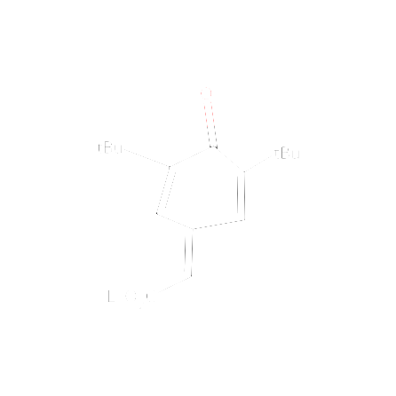 CCOC(=O)C=C1C=C(C(C)(C)C)C(=O)C(C(C)(C)C)=C1